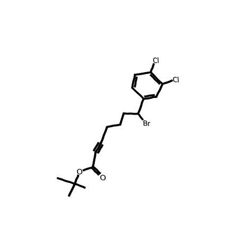 CC(C)(C)OC(=O)C#CCCCC(Br)c1ccc(Cl)c(Cl)c1